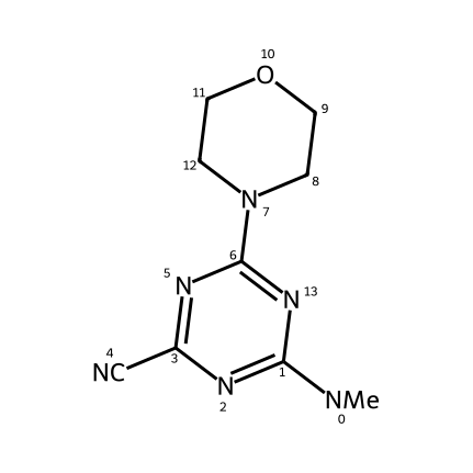 CNc1nc(C#N)nc(N2CCOCC2)n1